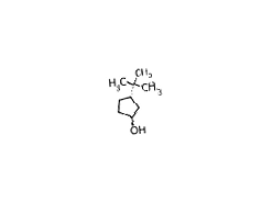 CC(C)(C)[C@H]1CC[C@H](O)C1